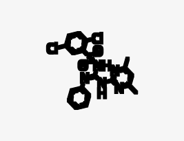 Cc1cc(C)nc(NC(=Nc2ccccc2)NS(=O)(=O)c2cc(Cl)ccc2Cl)n1